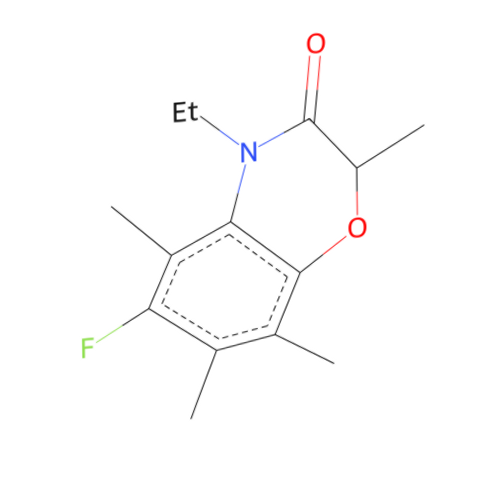 CCN1C(=O)C(C)Oc2c(C)c(C)c(F)c(C)c21